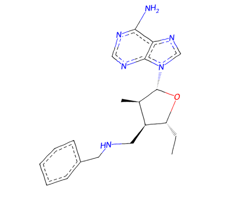 CC[C@H]1O[C@@H](n2cnc3c(N)ncnc32)[C@H](C)[C@@H]1CNCc1ccccc1